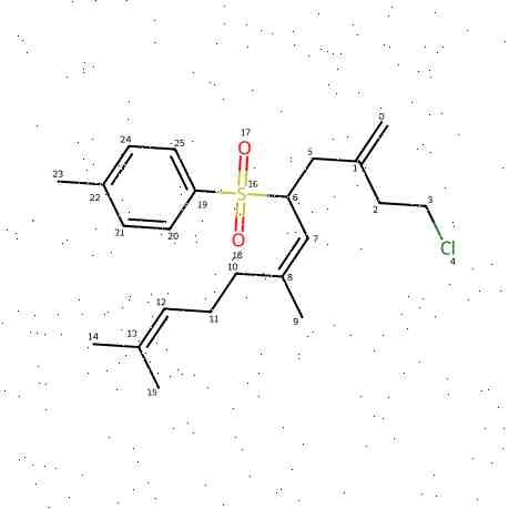 C=C(CCCl)CC(/C=C(/C)CCC=C(C)C)S(=O)(=O)c1ccc(C)cc1